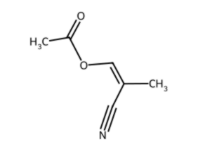 CC(=O)OC=C(C)C#N